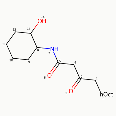 CCCCCCCCCC(=O)CC(=O)NC1CCCCC1O